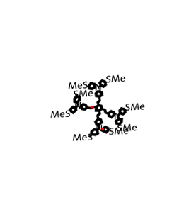 CSc1ccc(N(c2ccc(C=Cc3cc(C=Cc4ccc(N(c5ccc(SC)cc5)c5ccc(SC)cc5)cc4)c(/C=C/c4ccc(N(c5ccc(SC)cc5)c5ccc(SC)cc5)cc4)cc3C=Cc3ccc(N(c4ccc(SC)cc4)c4ccc(SC)cc4)cc3)cc2)c2ccc(SC)cc2)cc1